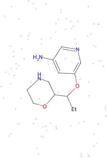 CCC(Oc1cncc(N)c1)C1CNCCO1